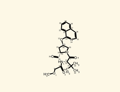 COCC(=O)N[C@H](C(=O)N1C[C@H](Oc2nccc3ccccc23)C[C@H]1C=O)C(C)(C)C